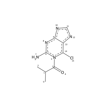 CC(C)C(=O)n1c(N)nc2ncnc-2c1Cl